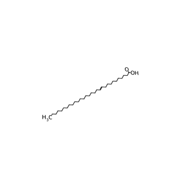 CCCCCCCCCCCCCCCCCCC=CCCCCCCCCCC(=O)O